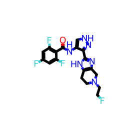 O=C(Nc1c[nH]nc1-c1nc2c([nH]1)CCN(CCF)C2)c1c(F)cc(F)cc1F